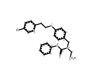 CCc1ccc(CCOc2ccc(CN(CC(=O)O)C(=O)Oc3ccccc3)cc2)nc1